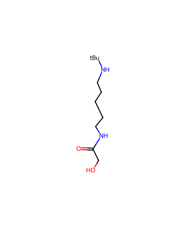 CC(C)(C)NCCCCCNC(=O)CO